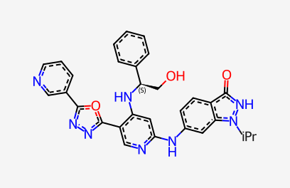 CC(C)n1[nH]c(=O)c2ccc(Nc3cc(N[C@H](CO)c4ccccc4)c(-c4nnc(-c5cccnc5)o4)cn3)cc21